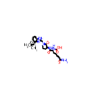 CC(C)(C)Cc1cccc2[nH]c(Cn3cccc(NC(=O)[C@H](CC/C=C/C(N)=O)NC(=O)O)c3=O)nc12